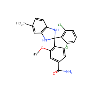 CC(C)Oc1cc(C(N)=O)ccc1C1(c2c(Cl)cccc2Cl)Nc2ccc(C(=O)O)cc2N1